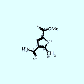 COC(=S)c1cc(C(N)=S)c(C)s1